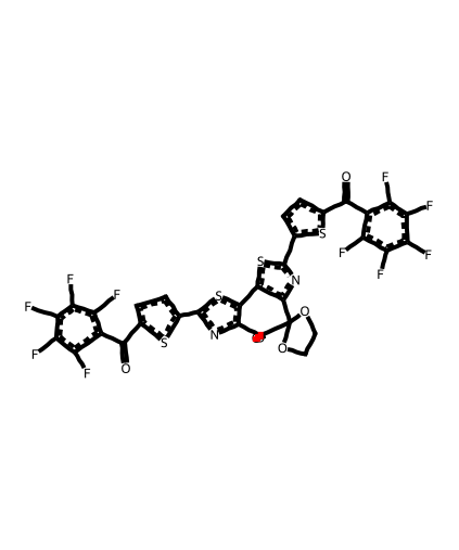 O=C(c1ccc(-c2nc3c(s2)-c2sc(-c4ccc(C(=O)c5c(F)c(F)c(F)c(F)c5F)s4)nc2C2(OCCO2)C32OCCO2)s1)c1c(F)c(F)c(F)c(F)c1F